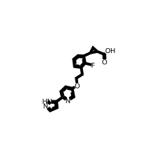 O=C(O)C1CC1c1cccc(CCOc2ccc(-c3ccn[nH]3)nc2)c1F